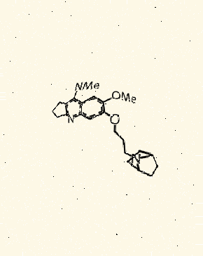 CNc1c2c(nc3cc(OCCCN4C5CCC4CC5)c(OC)cc13)CCC2